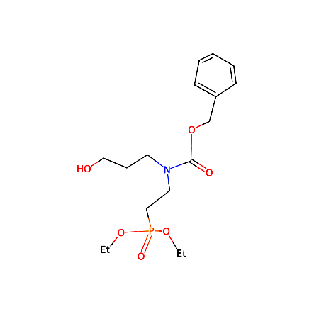 CCOP(=O)(CCN(CCCO)C(=O)OCc1ccccc1)OCC